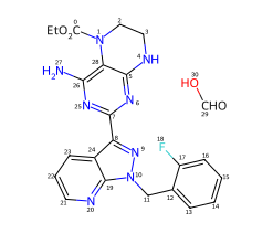 CCOC(=O)N1CCNc2nc(-c3nn(Cc4ccccc4F)c4ncccc34)nc(N)c21.O=CO